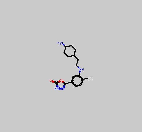 NC1CCC(CCNc2cc(-c3n[nH]c(=O)o3)ccc2C(F)(F)F)CC1